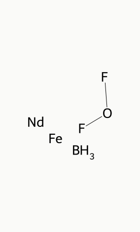 B.FOF.[Fe].[Nd]